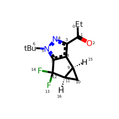 CCC(=O)c1nn(C(C)(C)C)c2c1[C@H]1C[C@H]1C2(F)F